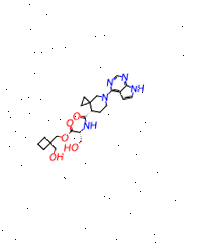 O=C(N[C@H](CO)C(=O)OCC1(CO)CCC1)[C@H]1CCN(c2ncnc3[nH]ccc23)CC12CC2